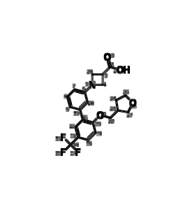 O=C(O)C1CN(c2cccc(-c3cc(C(F)(F)F)ccc3OCC3CCOC3)c2)C1